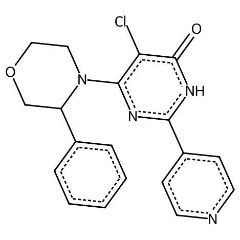 O=c1[nH]c(-c2ccncc2)nc(N2CCOCC2c2ccccc2)c1Cl